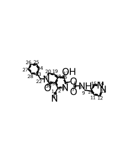 N#Cc1nc(OC(=O)NCc2ccnnc2)c(O)c2ccn(Cc3ccccc3)c(=O)c12